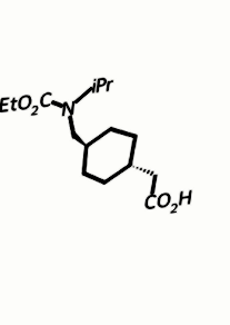 CCOC(=O)N(C[C@H]1CC[C@H](CC(=O)O)CC1)C(C)C